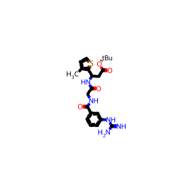 Cc1ccsc1C(CC(=O)OC(C)(C)C)NC(=O)CNC(=O)c1cccc(NC(=N)N)c1